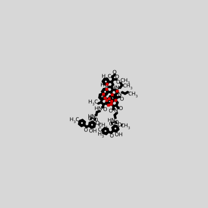 CCCCN1C(=O)C(CC(c2ccccc2)C(C(=O)NCC(C)CC)C(CC(c2ccccc2)C2C(=O)OC(=O)C2C)C(=O)O)C(C(CC2C(=O)N(CCCNS(=O)(=O)c3cc(C(=O)c4ccc(C)cc4)c(O)cc3OC)C(=O)C2C(CC(C(=O)O)C(C(=O)NCCCNS(=O)(=O)c2cc(C(=O)c3ccc(C)cc3)c(O)cc2OC)C(CC)c2ccccc2)c2ccccc2)c2ccccc2)C1=O